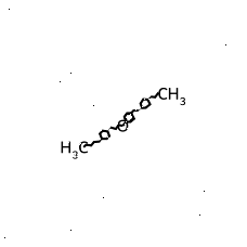 CCCCC[C@H]1CC[C@H](CCCOc2ccc(CC[C@H]3CC[C@H](CCCC)CC3)cc2)CC1